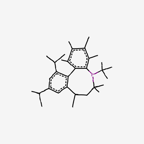 Cc1c(C)c(C)c2c(c1C)-c1c(C(C)C)cc(C(C)C)cc1C(C)CC(C)(C)P2C(C)(C)C